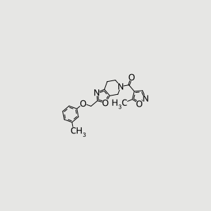 Cc1cccc(OCc2nc3c(o2)CN(C(=O)c2cnoc2C)CC3)c1